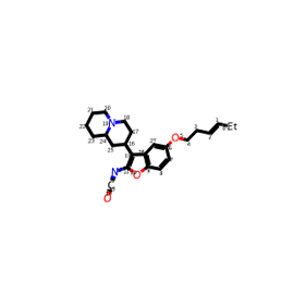 CCC=CCCOc1ccc2oc(N=C=O)c(C3CCN4CCCCC4C3)c2c1